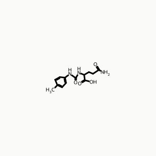 Cc1ccc(NC(=O)NC(CCC(N)=O)C(=O)O)cc1